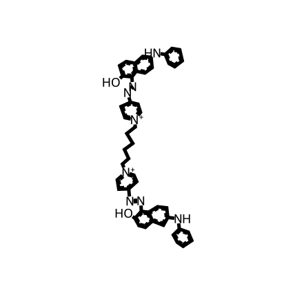 Oc1ccc2cc(Nc3ccccc3)ccc2c1N=Nc1cc[n+](CCCCCC[n+]2ccc(/N=N/c3c(O)ccc4cc(Nc5ccccc5)ccc34)cc2)cc1